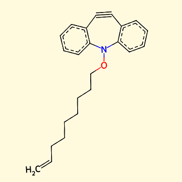 C=CCCCCCCCON1c2ccccc2C#Cc2ccccc21